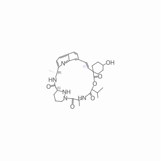 CC1NC(=O)C(C(C)C)OC(=O)C2(/C=C/c3ccc4ccc(nc4c3)[C@@H](C)NC(=O)[C@]3(C)CCCN(N3)C1=O)CCC(O)CC2